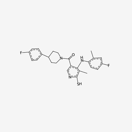 Cc1cc(F)ccc1Nc1c(C(=O)N2CCC(c3ccc(F)cc3)CC2)cnc(S)c1C